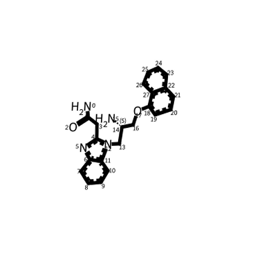 NC(=O)Cc1nc2ccccc2n1C[C@H](N)COc1cccc2ccccc12